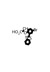 CC(Oc1ccc(Br)cc1-c1nc2ccccc2s1)C(=O)O